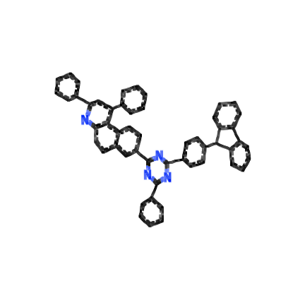 c1ccc(-c2cc(-c3ccccc3)c3c(ccc4cc(-c5nc(-c6ccccc6)nc(-c6ccc(C7c8ccccc8-c8ccccc87)cc6)n5)ccc43)n2)cc1